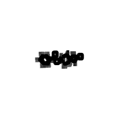 O=C1CC2(CCN(OC(=O)c3ccccc3)CC2)C1